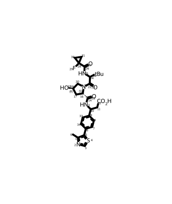 Cc1ncsc1-c1ccc(C(CC(=O)O)NC(=O)[C@@H]2C[C@@H](O)CN2C(=O)C(NC(=O)C2(F)CC2)C(C)(C)C)cc1